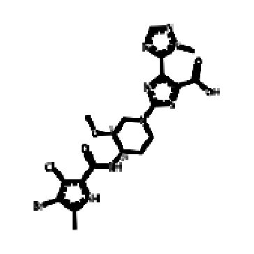 CO[C@H]1CN(c2nc(-c3ncnn3C)c(C(=O)O)s2)CC[C@H]1NC(=O)c1[nH]c(C)c(Br)c1Cl